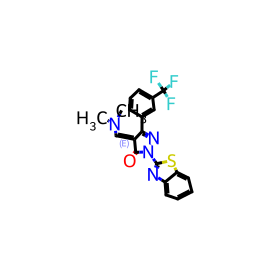 CN(C)/C=C1/C(=O)N(c2nc3ccccc3s2)N=C1c1cccc(C(F)(F)F)c1